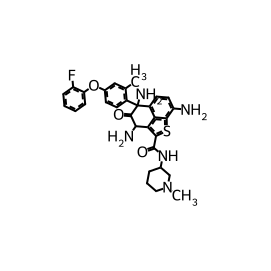 Cc1cc(Oc2ccccc2F)ccc1C1(N)C(=O)C(N)c2c(C(=O)NC3CCCN(C)C3)sc3c(N)ccc1c23